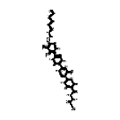 CCCCCCCCOc1ccc(-c2ccc(-c3ccc(C4=CCC(CCCCC)CC4)c(F)c3)cc2)c(F)c1F